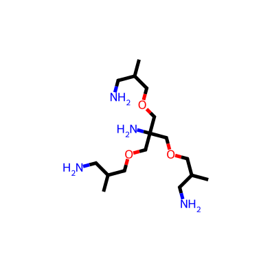 CC(CN)COCC(N)(COCC(C)CN)COCC(C)CN